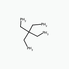 PCC(CP)(CP)CP